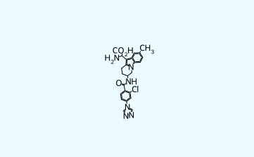 Cc1ccc2c(c1)c(C(N)C(=O)O)c1n2CC(NC(=O)c2ccc(-n3cnnc3)cc2Cl)CC1